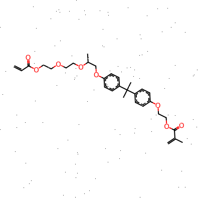 C=CC(=O)OCCOCCOC(C)COc1ccc(C(C)(C)c2ccc(OCCOC(=O)C(=C)C)cc2)cc1